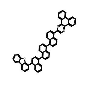 c1ccc2c(c1)oc1c(-c3ccc(-c4cccc5c(-c6cccc7c(-c8cnc9c%10ccccc%10c%10ccccc%10c9n8)cccc67)cccc45)c4ccccc34)cccc12